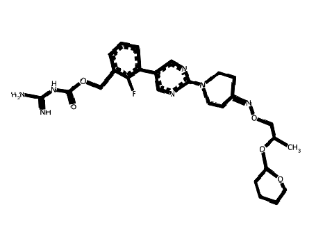 CC(CON=C1CCN(c2ncc(-c3cccc(COC(=O)NC(=N)N)c3F)cn2)CC1)OC1CCCCO1